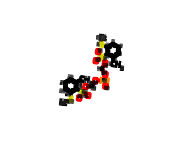 CCSc1cccc(C)c1S(=O)(=O)OCO[PH](=O)OCOS(=O)(=O)c1c(C)cccc1SCC